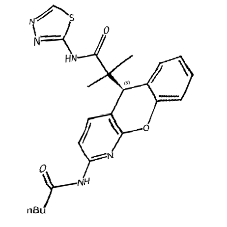 CCCCC(=O)Nc1ccc2c(n1)Oc1ccccc1[C@@H]2C(C)(C)C(=O)Nc1nncs1